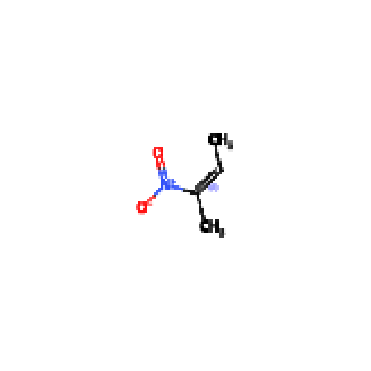 C/C=C(/C)[N+](=O)[O-]